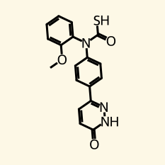 COc1ccccc1N(C(=O)S)c1ccc(-c2ccc(=O)[nH]n2)cc1